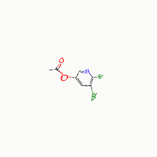 CC(=O)Oc1cnc(Br)c(Br)c1